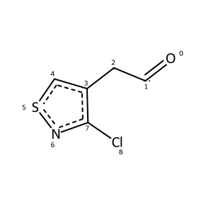 O=[C]Cc1csnc1Cl